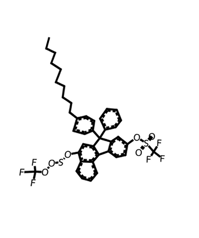 CCCCCCCCCCc1ccc(C2(c3ccccc3)c3cc(OS(=O)(=O)C(F)(F)F)ccc3-c3c2cc(OSOOC(F)(F)F)c2ccccc32)cc1